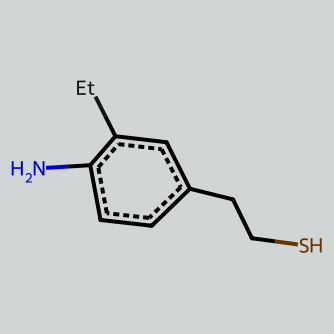 CCc1cc(CCS)ccc1N